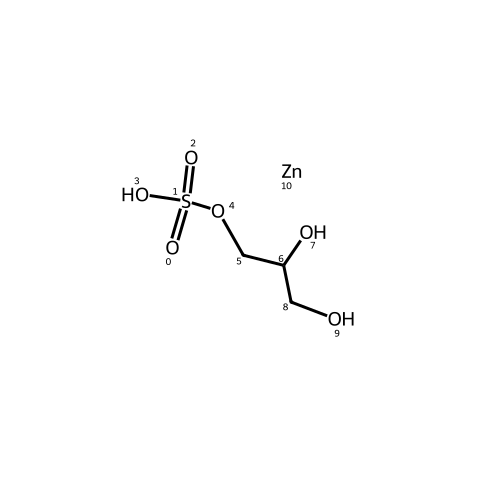 O=S(=O)(O)OCC(O)CO.[Zn]